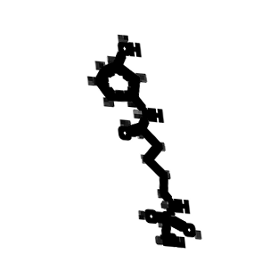 CC(C)(C)S(=O)(=O)NCCCCC(=O)Nc1cccc(O)c1